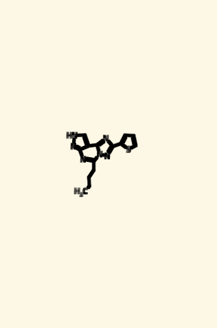 CCCCc1nc2n[nH]cc2c2nc(-c3cccs3)nn12